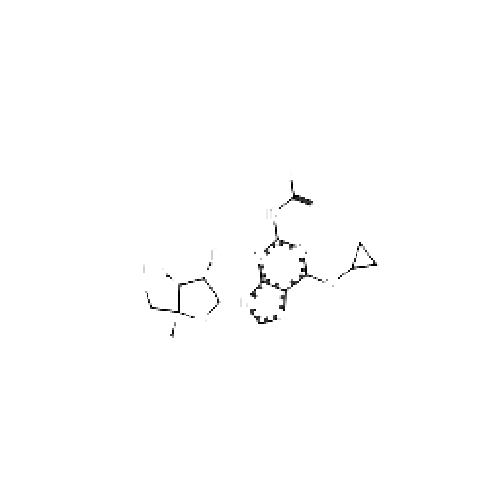 CC(C)C(=O)Nc1nc(NC2CC2)c2ncn([C@@H]3O[C@](C)(CO)[C@@H](O)[C@H]3F)c2n1